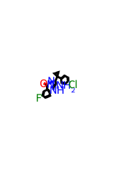 Nc1c(C2(c3ccc(Cl)cc3)CC2)nn2c(=O)c3cc(F)ccc3[nH]c12